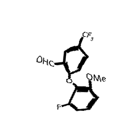 COc1cccc(F)c1Oc1ccc(C(F)(F)F)cc1C=O